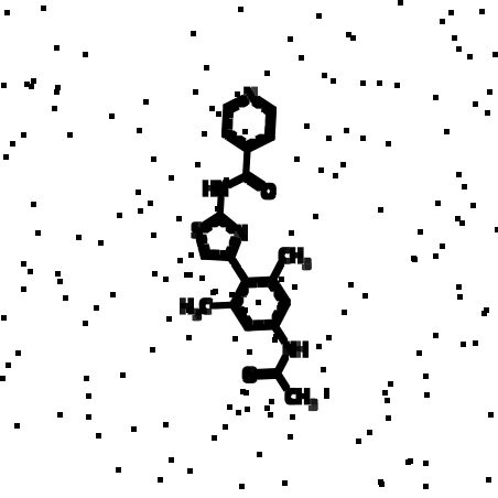 CC(=O)Nc1cc(C)c(-c2csc(NC(=O)c3ccncc3)n2)c(C)c1